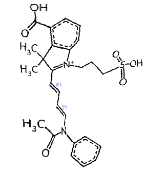 CC(=O)N(/C=C/C=C/C1=[N+](CCCS(=O)(=O)O)c2cccc(C(=O)O)c2C1(C)C)c1ccccc1